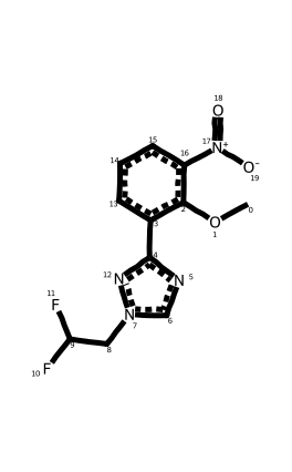 COc1c(-c2ncn(CC(F)F)n2)cccc1[N+](=O)[O-]